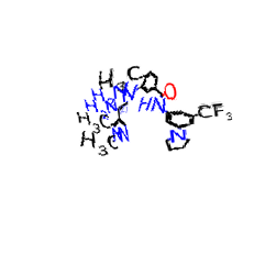 Cc1ccc(C(=O)Nc2cc(N3CCCC3)cc(C(F)(F)F)c2)cc1N(N)/C=C(\N)c1cnn(C)c1C